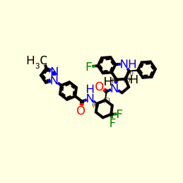 Cc1ccn(-c2ccc(C(=O)N[C@@H]3CCC(F)(F)C[C@@H]3C(=O)N3CC[C@@H]4[C@H](c5ccccc5)Nc5ccc(F)cc5[C@@H]43)cc2)n1